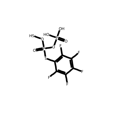 O=P(O)(O)OP(=O)(OS)Sc1c(F)c(F)c(F)c(F)c1F